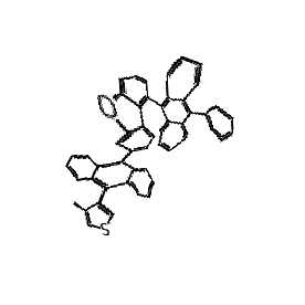 Cc1cscc1-c1c2ccccc2c(-c2ccc3c(c2)oc2cccc(-c4c5ccccc5c(C5=C=C=CC=C5)c5ccccc45)c23)c2ccccc12